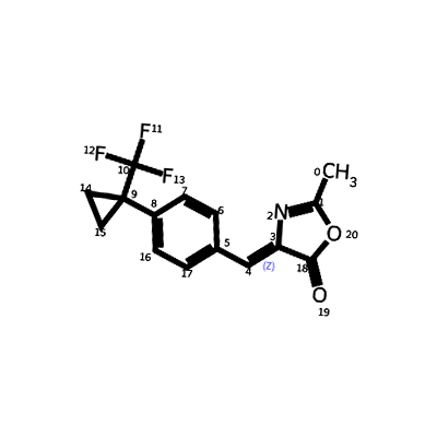 CC1=N/C(=C\c2ccc(C3(C(F)(F)F)CC3)cc2)C(=O)O1